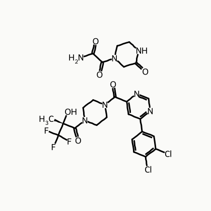 C[C@@](O)(C(=O)N1CCN(C(=O)c2cc(-c3ccc(Cl)c(Cl)c3)ncn2)CC1)C(F)(F)F.NC(=O)C(=O)N1CCNC(=O)C1